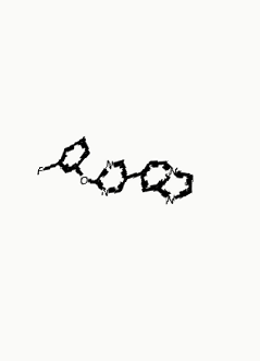 Fc1cccc(Oc2ncc(-c3ccn4ccnc4c3)cn2)c1